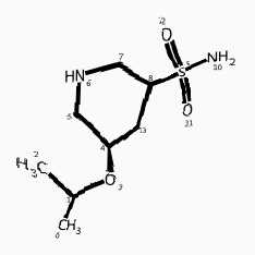 CC(C)O[C@H]1CNCC(S(N)(=O)=O)C1